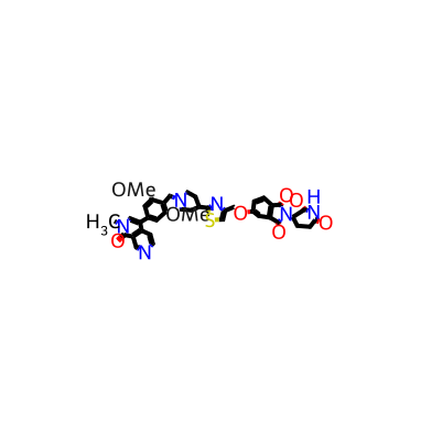 COc1cc(-c2cn(C)c(=O)c3cnccc23)cc(OC)c1CN1CCC(c2nc(COc3ccc4c(c3)C(=O)N(C3CCC(=O)NC3=O)C4=O)cs2)CC1